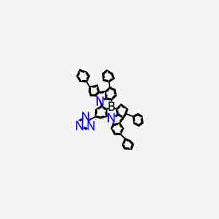 c1ccc(-c2ccc3c(c2)c2c(-c4ccccc4)ccc4c2n3-c2cc(-c3ncncn3)cc3c2B4c2ccc(-c4ccccc4)c4c5cc(-c6ccccc6)ccc5n-3c24)cc1